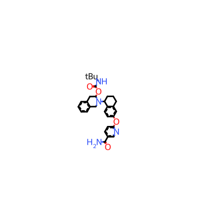 CC(C)(C)NC(=O)OC1Cc2ccccc2CN1C1CCCc2cc(Oc3ccc(C(N)=O)cn3)ccc21